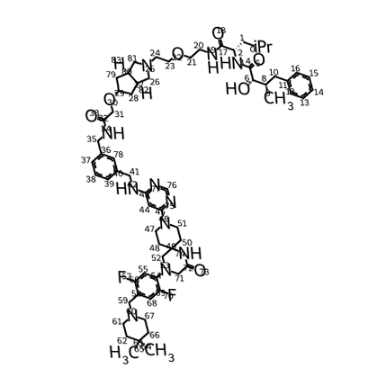 CC(C)C[C@H](NC(=O)[C@@H](O)[C@H](C)Cc1ccccc1)C(=O)NCCOCCN1C[C@H]2C[C@@H](OCC(=O)NCc3cccc(CNc4cc(N5CCC6(CC5)CN(c5cc(F)c(CN7CCC(C)(C)CC7)cc5F)CC(=O)N6)ncn4)c3)C[C@H]2C1